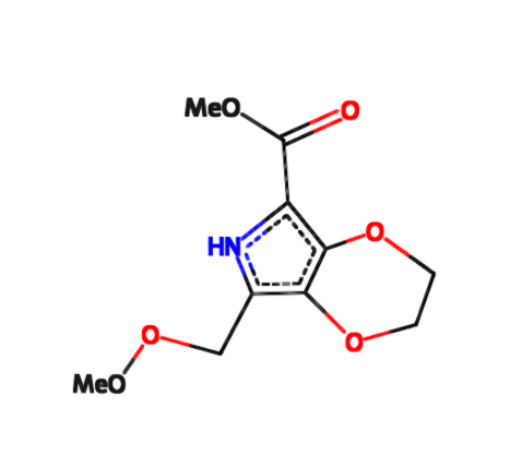 COOCc1[nH]c(C(=O)OC)c2c1OCCO2